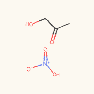 CC(=O)CO.O=[N+]([O-])O